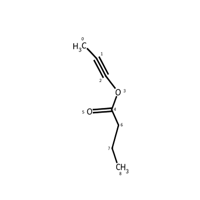 CC#COC(=O)CCC